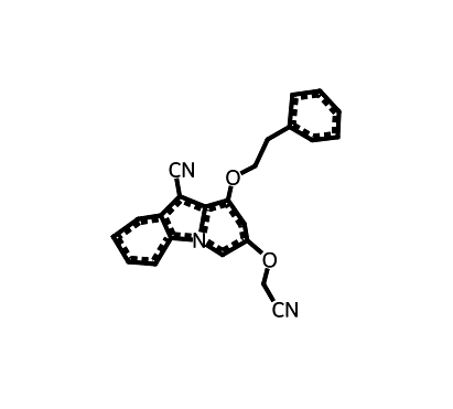 N#CCOc1cc(OCCc2ccccc2)c2c(C#N)c3ccccc3n2c1